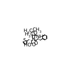 CC(C)(C)OC(=O)N[C@@H](Cc1ccccc1)C(=O)N[C@@H](Cc1cccs1)C(=O)O